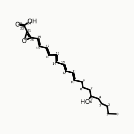 CCCCCC(O)CCCC=CC=CC=CC=CC=CC1=C(C(=O)O)O1